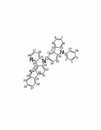 c1ccc(-n2c3ccccc3c3cc(-n4c5cccnc5c5c6sc7ccccc7c6ccc54)ccc32)cc1